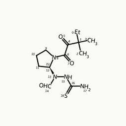 CCC(C)(C)C(=O)C(=O)N1CCC[C@@H]1N(C=O)NC(N)=S